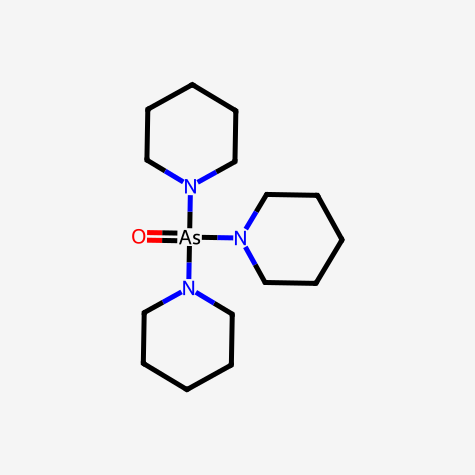 O=[As](N1CCCCC1)(N1CCCCC1)N1CCCCC1